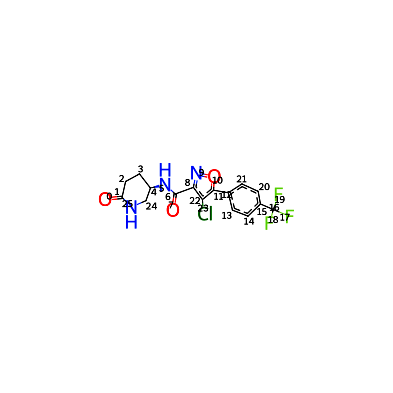 O=C1CC[C@@H](NC(=O)c2noc(-c3ccc(C(F)(F)F)cc3)c2Cl)CN1